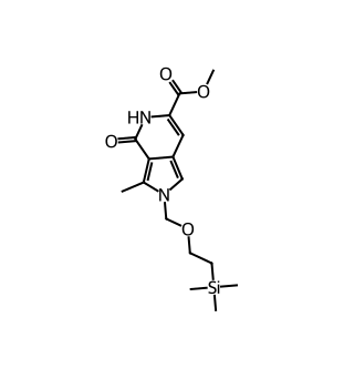 COC(=O)c1cc2cn(COCC[Si](C)(C)C)c(C)c2c(=O)[nH]1